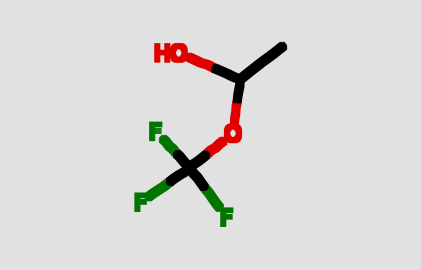 CC(O)OC(F)(F)F